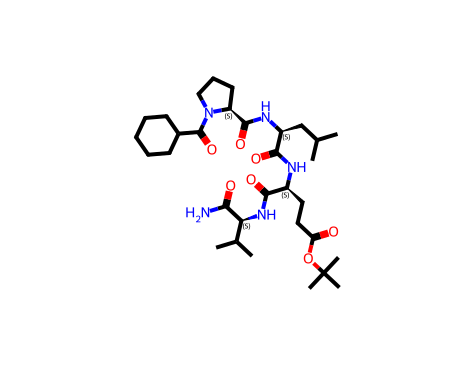 CC(C)C[C@H](NC(=O)[C@@H]1CCCN1C(=O)C1CCCCC1)C(=O)N[C@@H](CCC(=O)OC(C)(C)C)C(=O)N[C@H](C(N)=O)C(C)C